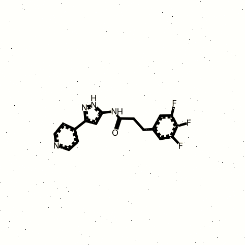 O=C(CCc1cc(F)c(F)c(F)c1)Nc1cc(-c2ccncc2)n[nH]1